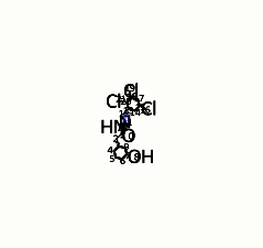 O=C(Cc1cccc(O)c1)N/N=C/c1cc(Cl)cc(Cl)c1Cl